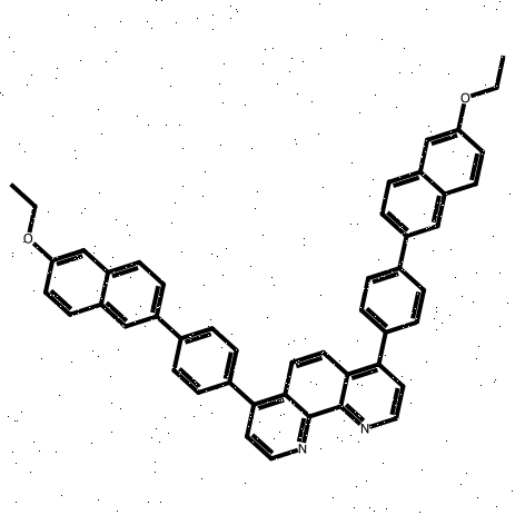 CCOc1ccc2cc(-c3ccc(-c4ccnc5c4ccc4c(-c6ccc(-c7ccc8cc(OCC)ccc8c7)cc6)ccnc45)cc3)ccc2c1